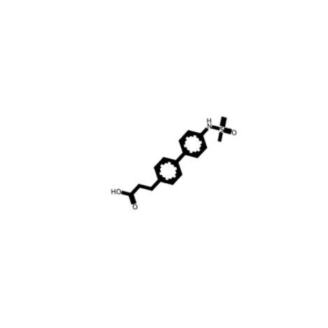 C=S(C)(=O)Nc1ccc(-c2ccc(CCC(=O)O)cc2)cc1